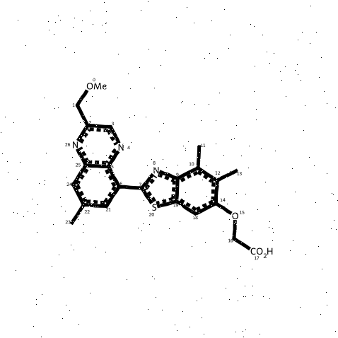 COCc1cnc2c(-c3nc4c(C)c(C)c(OCC(=O)O)cc4s3)cc(C)cc2n1